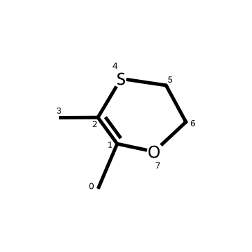 CC1=C(C)SCCO1